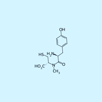 CN(C(=O)[C@@H](N)Cc1ccc(O)cc1)[C@@H](CS)C(=O)O